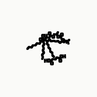 CCCCCCCCC(CCCCCCCC)C(CCC(=O)OCC(C)OC(=O)CCCN(C)C)(C(=O)O)C(CCCCCCCC)CCCCCCCC.O=C(O)CCCC(=O)O